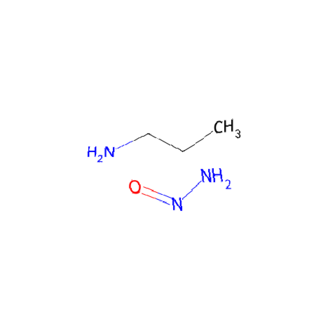 CCCN.NN=O